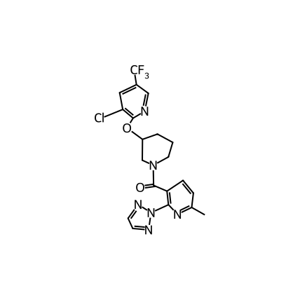 Cc1ccc(C(=O)N2CCCC(Oc3ncc(C(F)(F)F)cc3Cl)C2)c(-n2nccn2)n1